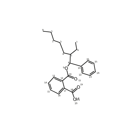 CCCCCC(CC)C(OC(=O)c1ccccc1C(=O)O)c1ccccc1